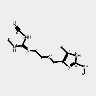 CN/C(=N/CCSCc1nc(SC)[nH]c1C)NC#N